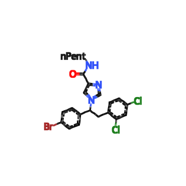 CCCCCNC(=O)c1cn(C(Cc2ccc(Cl)cc2Cl)c2ccc(Br)cc2)cn1